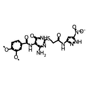 COc1ccc(C(=O)Nc2c(N)nc(SCC(=O)Nc3cc([N+](=O)[O-])[nH]n3)[nH]c2=O)cc1OC